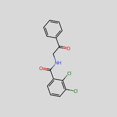 O=C(CNC(=O)c1cccc(Cl)c1Cl)c1ccccc1